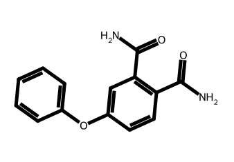 NC(=O)c1ccc(Oc2ccccc2)cc1C(N)=O